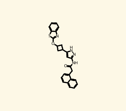 O=C(Cc1cccc2ccccc12)Nc1cc(C2CC(Oc3nc4ccccc4s3)C2)[nH]n1